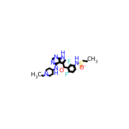 CCC[S+]([O-])Nc1ccc(F)c(C(=O)c2c[nH]c3ncnc(NC4CCN(CC)CC4)c23)c1F